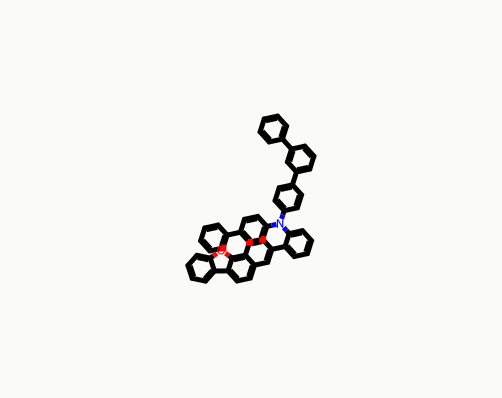 c1ccc(-c2ccc(N(c3ccc(-c4cccc(-c5ccccc5)c4)cc3)c3ccccc3-c3ccc4c(ccc5c6ccccc6oc45)c3)cc2)cc1